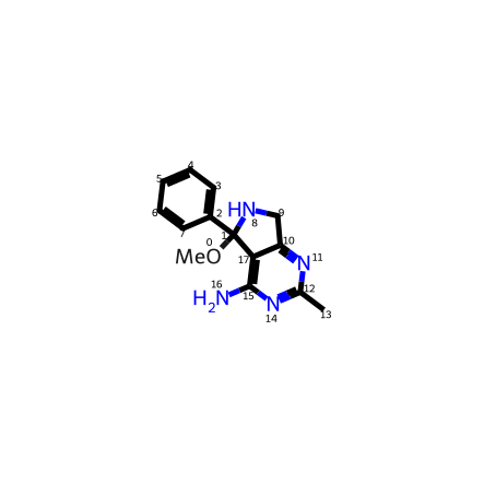 COC1(c2ccccc2)NCc2nc(C)nc(N)c21